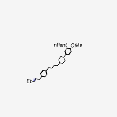 CC/C=C/Cc1ccc(CCCCC2CCC(c3ccc(OC)c(CCCCC)c3)CC2)cc1